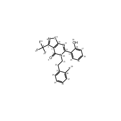 O=c1c2c(C(F)(F)F)nsc2nc(-c2ccccc2O)n1CCc1ccccc1F